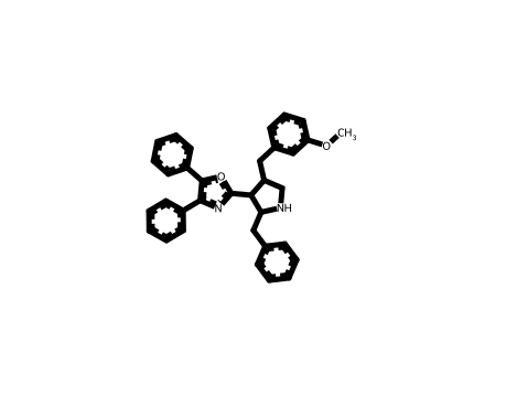 COc1cccc(CC2CNC(Cc3ccccc3)C2c2nc(-c3ccccc3)c(-c3ccccc3)o2)c1